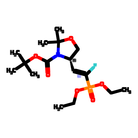 CCOP(=O)(OCC)/C(F)=C/[C@H]1COC(C)(C)N1C(=O)OC(C)(C)C